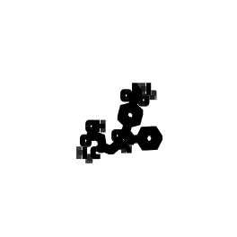 CC(CC(=O)O)Cc1nc(-c2ccccc2)c(-c2ccc(S(N)(=O)=O)cc2)o1